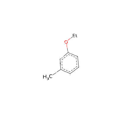 CCOc1cc[c]c(C)c1